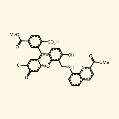 COC(=O)c1ccc(C(=O)O)c(-c2c3cc(Cl)c(=O)cc-3oc3c(CNc4cccc5ccc(C(=O)OC)nc45)c(O)ccc23)c1